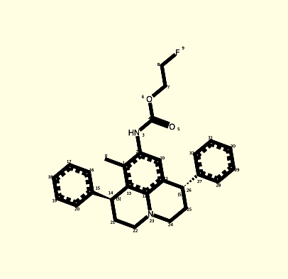 Cc1c(NC(=O)OCCF)cc2c3c1[C@H](c1ccccc1)CCN3CC[C@H]2c1ccccc1